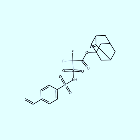 C=Cc1ccc(S(=O)(=O)NS(=O)(=O)C(F)(F)C(=O)OC23CC4CC(C2)C(=O)C(C4)C3)cc1